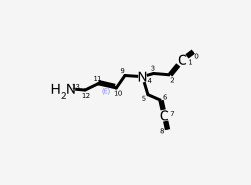 C=C=CCN(CC=C=C)C/C=C/CN